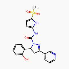 CS(=O)(=O)c1ccc(NC(=O)N2N=C(c3cccnc3)CC2c2ccccc2O)[nH]1